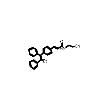 CCC(=C(c1ccccc1)c1ccc(C=CC(=O)NCCC#N)cc1)c1ccccc1